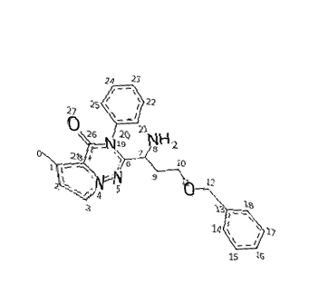 Cc1ccn2nc(C(N)CCOCc3ccccc3)n(-c3ccccc3)c(=O)c12